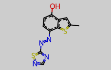 Cc1cc2c(O)ccc(N=Nc3ncns3)c2s1